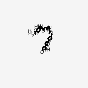 CC1(C)Cc2[nH]nc(C(=O)Cc3cnn(C4CN(CC5CCN(c6ccc(C7CCC(=O)NC7=O)cn6)CC5)C4)c3)c2CC1(F)F